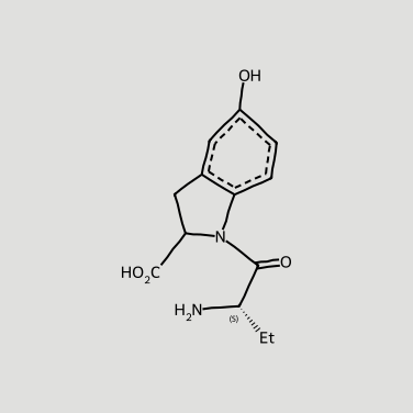 CC[C@H](N)C(=O)N1c2ccc(O)cc2CC1C(=O)O